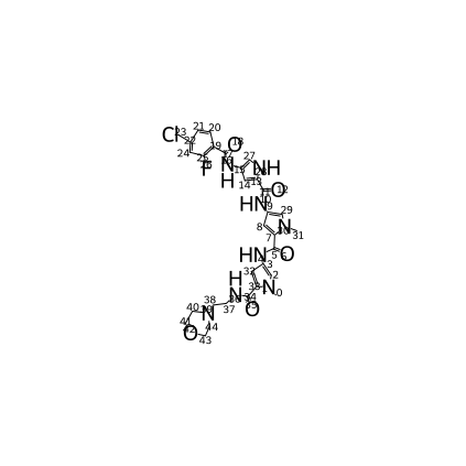 Cn1cc(NC(=O)c2cc(NC(=O)c3cc(NC(=O)c4ccc(Cl)cc4F)c[nH]3)cn2C)cc1C(=O)NCCN1CCOCC1